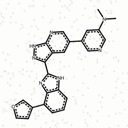 CN(C)c1cncc(-c2cnc3[nH]nc(-c4nc5c(-c6ccoc6)cccc5[nH]4)c3c2)c1